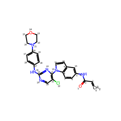 C=CC(=O)Nc1ccc2c(ccn2-c2nc(Nc3ccc(N4CCOCC4)cc3)ncc2Cl)c1